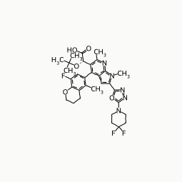 Cc1nc2c(cc(-c3nnc(N4CCC(F)(F)CC4)o3)n2C)c(-c2cc(F)c3c(c2C)CCCO3)c1[C@H](OC(C)(C)C)C(=O)O